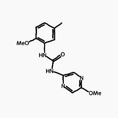 COc1cnc(NC(=O)Nc2cc(C)ccc2OC)cn1